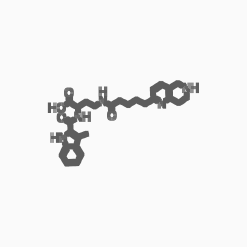 Cc1c(C(=O)NC(CCNC(=O)CCCCc2ccc3c(n2)CCNC3)C(=O)O)[nH]c2ccccc12